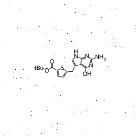 CC(C)(C)OC(=O)c1ccc(Cc2c[nH]c3nc(N)nc(O)c23)s1